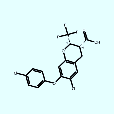 O=C(O)[C@@H]1Cc2cc(Cl)c(Oc3ccc(Cl)cc3)cc2O[C@@H]1C(F)(F)F